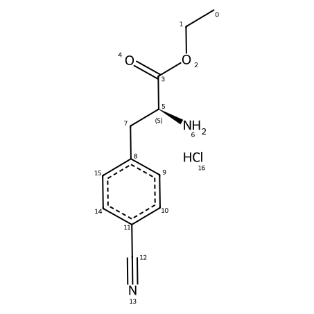 CCOC(=O)[C@@H](N)Cc1ccc(C#N)cc1.Cl